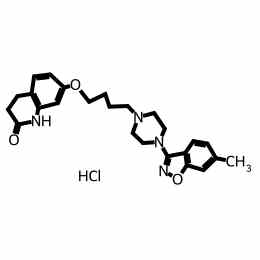 Cc1ccc2c(N3CCN(CCCCOc4ccc5c(c4)NC(=O)CC5)CC3)noc2c1.Cl